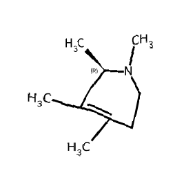 CC1=C(C)[C@@H](C)N(C)CC1